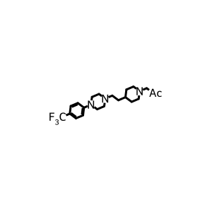 CC(=O)CN1CCC(CCN2CCN(c3ccc(C(F)(F)F)cc3)CC2)CC1